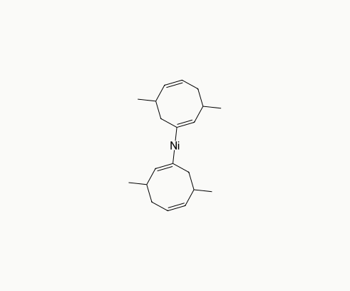 CC1C=[C]([Ni][C]2=CC(C)CC=CC(C)C2)CC(C)C=CC1